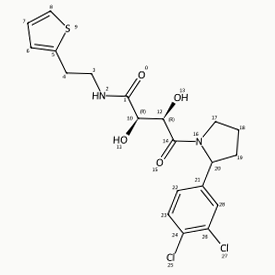 O=C(NCCc1cccs1)[C@H](O)[C@@H](O)C(=O)N1CCCC1c1ccc(Cl)c(Cl)c1